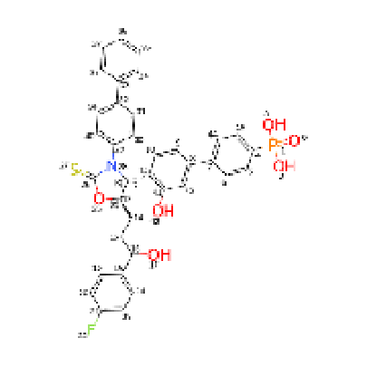 O=P(O)(O)c1ccc(-c2ccc([C@@H]3[C@@H](CCC(O)c4ccc(F)cc4)OC(=S)N3c3ccc(-c4ccccc4)cc3)c(O)c2)cc1